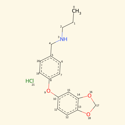 CCCNCc1ccc(Oc2ccc3c(c2)OCO3)cc1.Cl